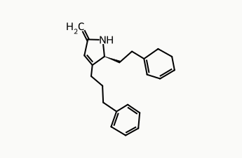 C=C1C=C(CCCc2ccccc2)[C@H](CCC2=CC=CCC2)N1